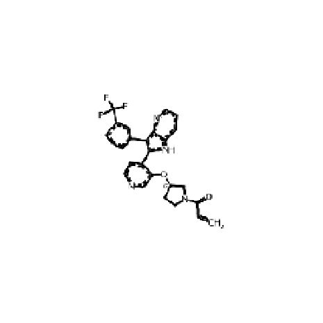 C=CC(=O)N1CC[C@@H](Oc2cnccc2-c2[nH]c3cccnc3c2-c2cccc(C(F)(F)F)c2)C1